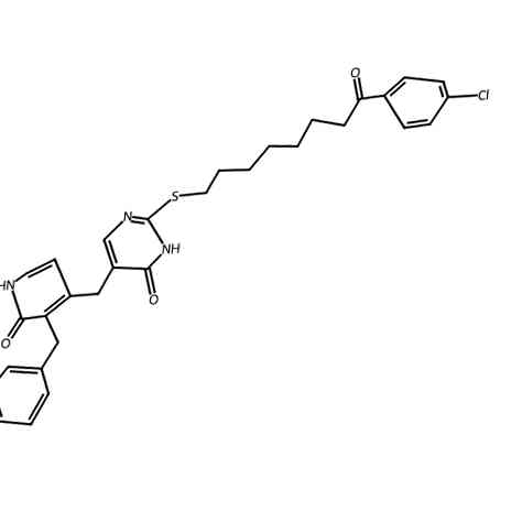 O=C(CCCCCCCSc1ncc(Cc2cc[nH]c(=O)c2Cc2ccccc2)c(=O)[nH]1)c1ccc(Cl)cc1